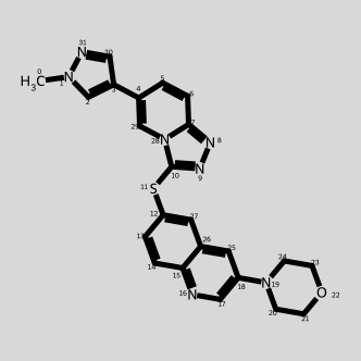 Cn1cc(-c2ccc3nnc(Sc4ccc5ncc(N6CCOCC6)cc5c4)n3c2)cn1